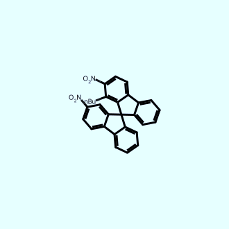 CCCCc1c([N+](=O)[O-])ccc2c1C1(c3ccccc3-c3ccc([N+](=O)[O-])cc31)c1ccccc1-2